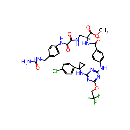 COC(=O)[C@H](CNC(=O)C(=O)Nc1ccc(CNC(N)=O)cc1)NC(=O)c1ccc(Nc2nc(NC3(c4ccc(Cl)cc4)CC3)nc(OCC(F)(F)F)n2)cc1